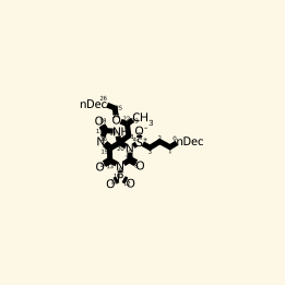 CCCCCCCCCCCCC[S+]([O-])N1C(=O)N(P(=O)=O)C(=O)C2=NC(=O)NC21CC(C)OCCCCCCCCCCC